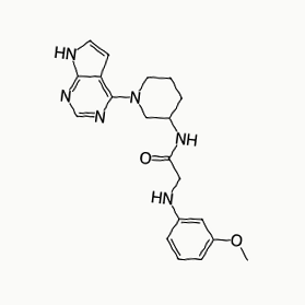 COc1cccc(NCC(=O)NC2CCCN(c3ncnc4[nH]ccc34)C2)c1